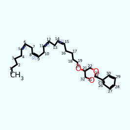 CCCCC/C=C\C/C=C\C/C=C\C/C=C\CCCCOC1COC(c2ccccc2)OC1